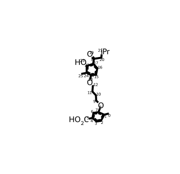 Cc1ccc(C(=O)O)cc1OCCCCOc1ccc(C(=O)CC(C)C)c(O)c1C